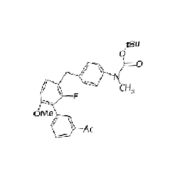 COc1ccc(Cc2ccc(N(C)C(=O)OC(C)(C)C)cc2)c(F)c1-c1cccc(C(C)=O)c1